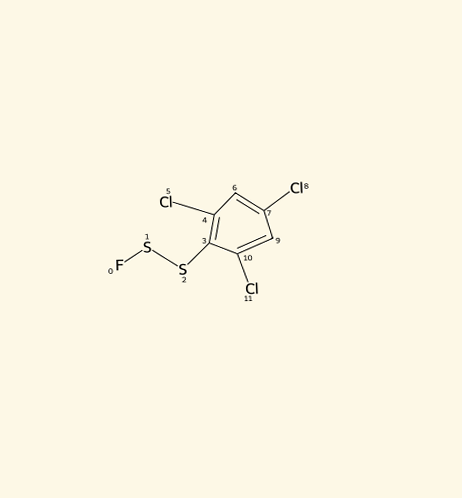 FSSc1c(Cl)cc(Cl)cc1Cl